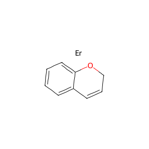 C1=Cc2ccccc2OC1.[Er]